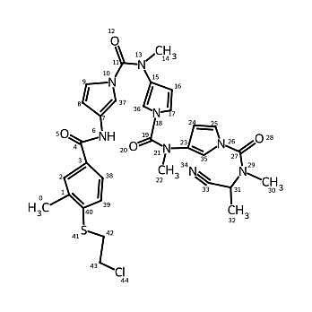 Cc1cc(C(=O)Nc2ccn(C(=O)N(C)c3ccn(C(=O)N(C)c4ccn(C(=O)N(C)C(C)C#N)c4)c3)c2)ccc1SCCCl